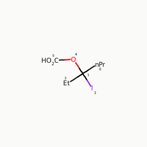 CCCC(I)(CC)OC(=O)O